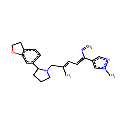 C=N/C(=C\C=C(/C)CN1CCCC1c1ccc2c(c1)OCC2)c1cnn(C)c1